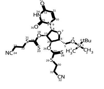 CC(C)(C)[Si](C)(C)OC[C@H]1O[C@@H](n2ccc(=O)[nH]c2=O)[C@H](OC(=S)SCCC#N)[C@@H]1OC(=S)SCCC#N